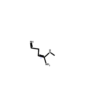 CN/C(N)=C\CC=N